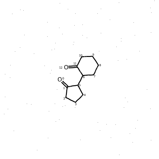 O=C1CCC[C]1C1CCCCC1=O